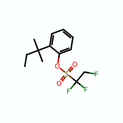 CCC(C)(C)c1ccccc1OS(=O)(=O)C(F)(F)CF